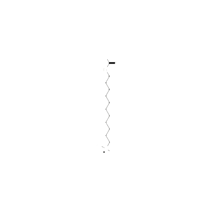 O=P(O)(O)CCCCCCCCCCCNC(=S)S